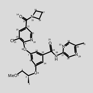 COC[C@H](C)Oc1cc(Oc2ncc(C(=O)N3CCC3)cc2Cl)cc(C(=O)Nc2cnc(C)cn2)c1